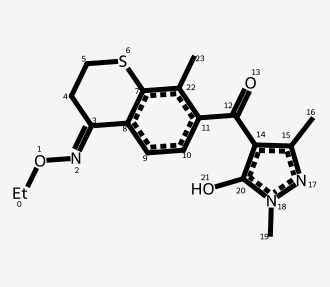 CCON=C1CCSc2c1ccc(C(=O)c1c(C)nn(C)c1O)c2C